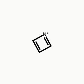 C1=C[N+]=C1